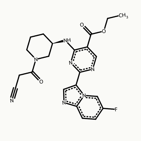 CCOC(=O)c1cnc(-c2cnc3ccc(F)cn23)nc1N[C@@H]1CCCN(C(=O)CC#N)C1